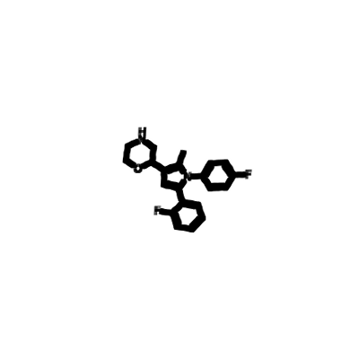 Cc1c(C2CNCCO2)cc(-c2ccccc2F)n1-c1ccc(F)cc1